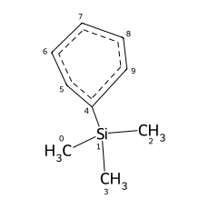 C[Si](C)(C)c1ccccc1